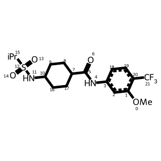 COc1cc(NC(=O)C2CCC(NS(=O)(=O)C(C)C)CC2)ccc1C(F)(F)F